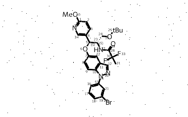 COc1ccc([C@H](Oc2ccc3c(cnn3-c3cccc(Br)c3)c2)[C@H](COC(C)(C)C)NC(=O)C(C)(F)F)cn1